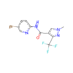 Cn1cc(C(=O)Nc2ccc(Br)cn2)c(C(F)(F)F)n1